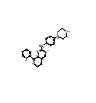 c1ccc(-c2nccc3cnc(Nc4ccc(N5CCOCC5)cc4)nc23)nc1